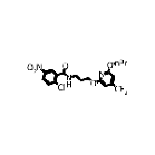 CCCOc1cc(C(F)(F)F)cc(OCCCNC(=O)c2cc([N+](=O)[O-])ccc2Cl)n1